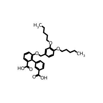 CCCCCOc1ccc(COc2cccc(C(=O)O)c2-c2cccc(C(=O)O)c2)cc1OCCCCC